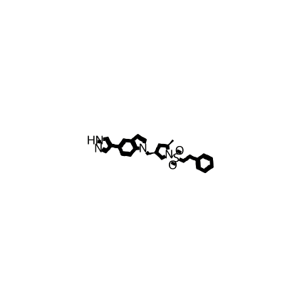 C[C@@H]1C[C@H](Cn2ccc3cc(-c4cn[nH]c4)ccc32)CN1S(=O)(=O)CCc1ccccc1